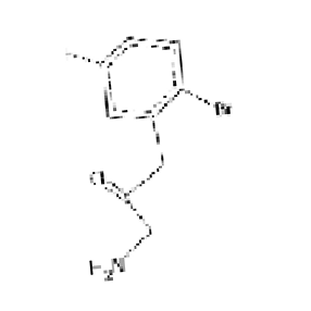 NCC(=O)Cc1cc(F)ccc1Br